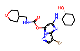 O=C(NCC1CCOCC1)Oc1cc(N[C@H]2CCCC[C@H]2O)nc2c(Br)cnn12